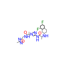 Cc1noc(CNC(=O)C(C)(C)n2cnc(NC(=O)C(C)NC3CCc4cc(F)cc(F)c4C3)c2)n1